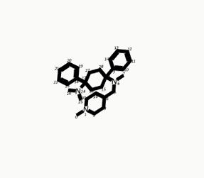 CN1CCC(CN(C)C2(c3ccccc3)CCC(c3ccccc3)(N(C)C)CC2)CC1